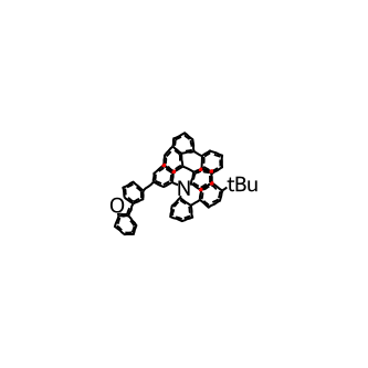 CC(C)(C)c1ccc(-c2ccccc2N(c2cccc(-c3ccc4oc5ccccc5c4c3)c2)c2ccccc2-c2cccc3cccc(-c4ccccc4)c23)cc1